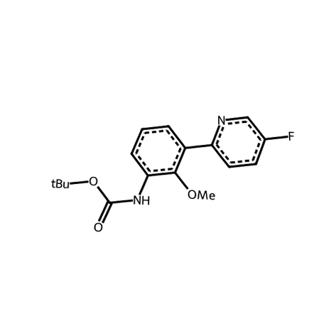 COc1c(NC(=O)OC(C)(C)C)cccc1-c1ccc(F)cn1